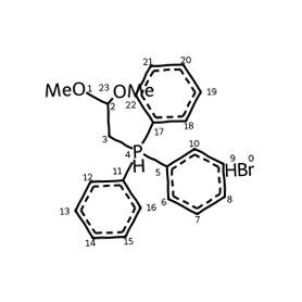 Br.COC(C[PH](c1ccccc1)(c1ccccc1)c1ccccc1)OC